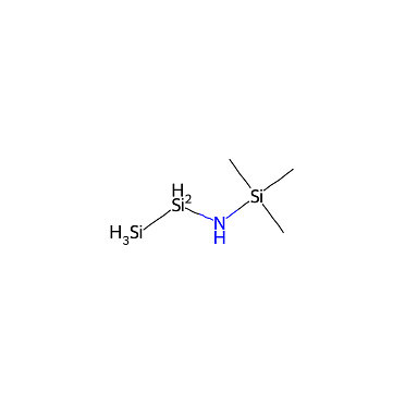 C[Si](C)(C)N[SiH2][SiH3]